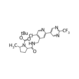 CC1CCC(C(=O)NCc2cc(-c3cnc(C(F)(F)F)nc3)ncc2Cl)N1C(=O)OC(C)(C)C